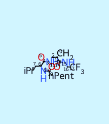 C=C(CNC(=O)C(CC(C)C)NC(=O)CCCCC)C(=O)NCC(F)(F)F